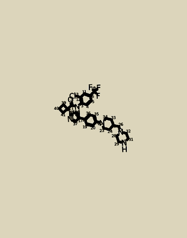 O=C(Nc1ccc(C(F)(F)F)cc1Cl)C1(n2cc(-c3ccc(N4CCC(CN5CCNCC5)CC4)cc3)cn2)CCC1